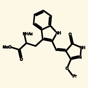 COC(=O)C(Cc1c(/C=C2\C(=O)NN=C2OC(C)C)[nH]c2ccccc12)NC(C)=O